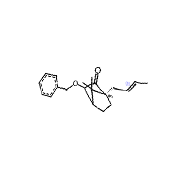 C/C=C/C[C@@]12CCC(C(OCc3ccccc3)C1=O)C2(C)C